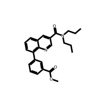 CCCN(CCC)C(=O)c1cnc2c(-c3cccc(C(=O)OC)c3)cccc2c1